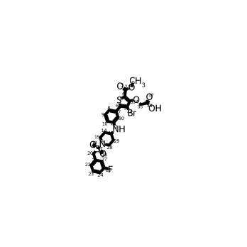 COC(=O)c1sc(-c2cccc(NC3CCN(S(=O)(=O)Cc4cccc(F)c4)CC3)c2)c(Br)c1OCC(=O)O